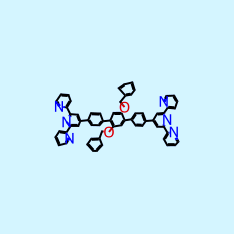 c1ccc(COc2cc(-c3ccc(-c4cc(-c5ccccn5)nc(-c5ccccn5)c4)cc3)c(OCc3ccccc3)cc2-c2ccc(-c3cc(-c4ccccn4)nc(-c4ccccn4)c3)cc2)cc1